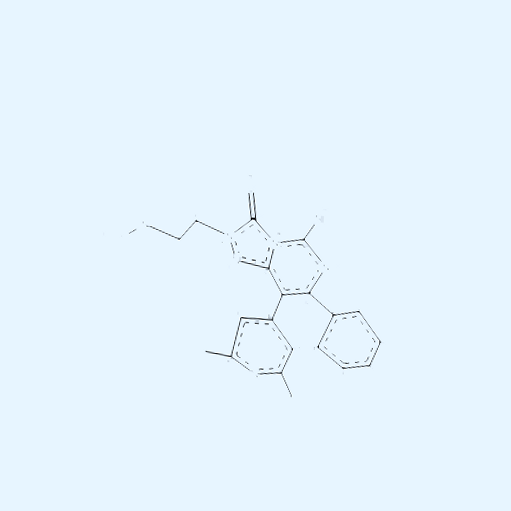 CCOC(=O)NCCn1nc2c(-c3cc(C)nc(C)c3)c(-c3ccccc3)nc(N)n2c1=O